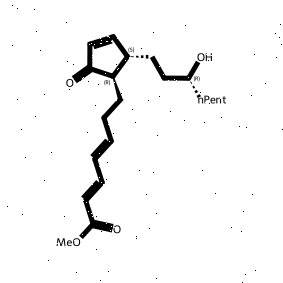 CCCCC[C@@H](O)CC[C@H]1C=CC(=O)[C@@H]1CCC=CC=CC(=O)OC